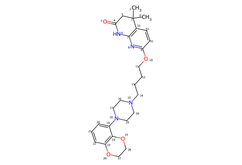 CC1(C)CC(=O)Nc2nc(OCCCCN3CCN(c4cccc5c4OCCO5)CC3)ccc21